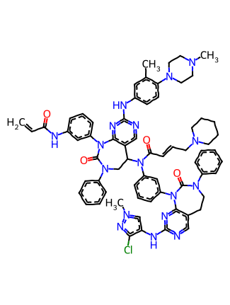 C=CC(=O)Nc1cccc(N2C(=O)N(c3ccccc3)CC(N(C(=O)/C=C/CN3CCCCC3)c3cccc(N4C(=O)N(c5ccccc5)CCc5cnc(Nc6cn(C)nc6Cl)nc54)c3)c3cnc(Nc4ccc(N5CCN(C)CC5)c(C)c4)nc32)c1